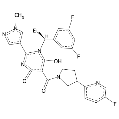 CC[C@@H](c1cc(F)cc(F)c1)n1c(-c2cnn(C)c2)nc(=O)c(C(=O)N2CCC(c3ccc(F)cn3)C2)c1O